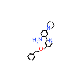 Nc1ccc(N2CCCCC2)cc1-c1cc(COCCc2ccccc2)ccn1